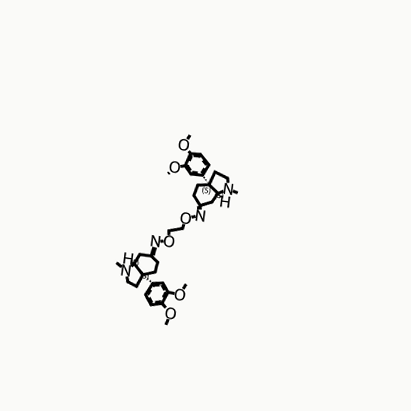 COc1ccc([C@@]23CCC(=NOCCON=C4CC[C@@]5(c6ccc(OC)c(OC)c6)CCN(C)[C@H]5C4)C[C@@H]2N(C)CC3)cc1OC